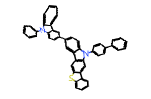 c1ccc(-c2ccc(-n3c4ccc(-c5ccc6c(c5)c5ccccc5n6-c5ccccc5)cc4c4cc5sc6ccccc6c5cc43)cc2)cc1